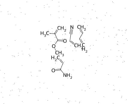 C=C(C)C(=O)OC.C=CC#N.C=CC(N)=O.C=CC=C